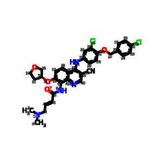 CN(C)C/C=C/C(=O)Nc1c(O[C@H]2CCOC2)ccc2c(Nc3ccc(OCc4ccc(Cl)cc4)c(Cl)c3)c(C#N)cnc12